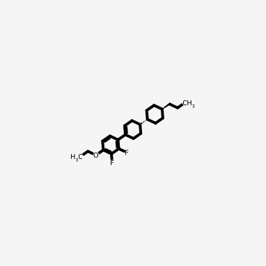 CCC[C@H]1CC[C@H](C2CC=C(c3ccc(OCC)c(F)c3F)CC2)CC1